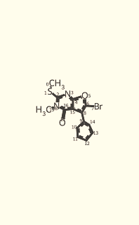 CSc1nc2oc(Br)c(-c3ccccc3)c2c(=O)n1C